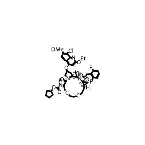 CCOc1cc(OC2C[C@H]3C(=O)N[C@]4(P(=O)(O)Cc5c(F)cccc5F)C[C@H]4CCCCCCC[C@H](NC(=O)OC4CCCC4)C(=O)N3C2)c2ccc(OC)c(Cl)c2n1